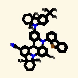 Cc1cc2c3c(c1)N1c4c(cc(C#N)cc4C4(C)CCCCC14C)B3c1ccc(N3c4ccc(C(C)(C)C)cc4C4(C)CCCCC34C)cc1N2c1cccc2c1sc1ccccc12